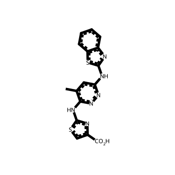 Cc1cc(Nc2nc3ccccc3s2)nnc1Nc1nc(C(=O)O)cs1